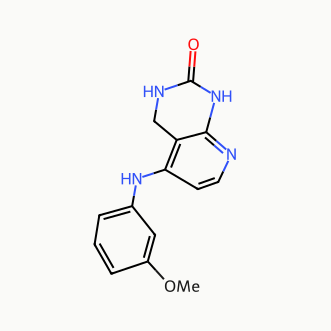 COc1cccc(Nc2ccnc3c2CNC(=O)N3)c1